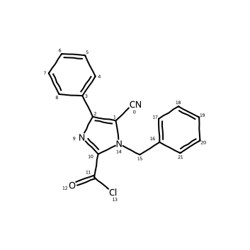 N#Cc1c(-c2ccccc2)nc(C(=O)Cl)n1Cc1ccccc1